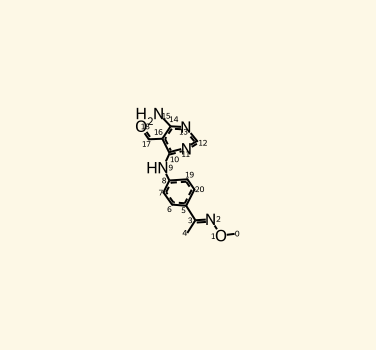 CON=C(C)c1ccc(Nc2ncnc(N)c2C=O)cc1